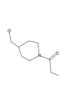 CCC(=O)N1CCC(C[O])CC1